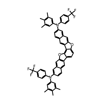 Cc1cc(N(c2ccc(C(F)(F)F)cc2)c2ccc3cc4c(cc3c2)oc2c4ccc3oc4cc5cc(N(c6ccc(C(F)(F)F)cc6)c6cc(C)c(C)c(C)c6)ccc5cc4c32)cc(C)c1C